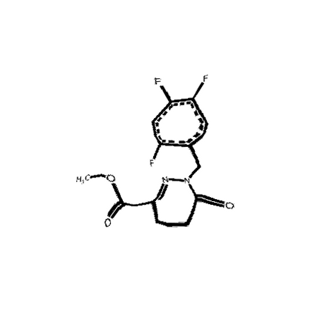 COC(=O)C1=NN(Cc2cc(F)c(F)cc2F)C(=O)CC1